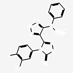 O=C(O)N(c1ccccc1)c1nonc1-c1noc(=O)n1-c1ccc(F)c(Br)c1